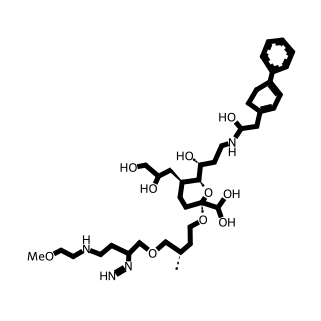 COCCNCCC(COC[C@@H](C)CCO[C@]1(C(O)O)CC[C@@H](CC(O)CO)[C@H]([C@H](O)CCNC(O)CC2=CC=C(c3ccccc3)CC2)O1)N=N